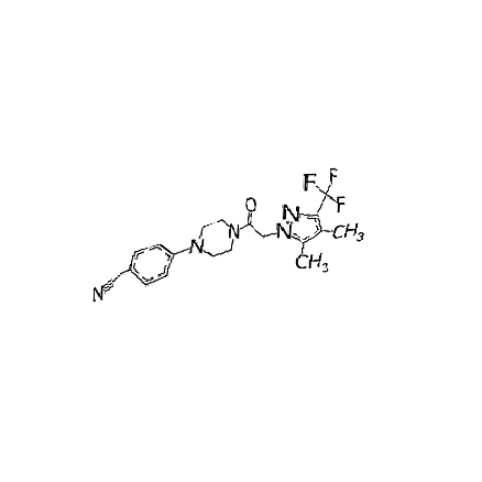 Cc1c(C(F)(F)F)nn(CC(=O)N2CCN(c3ccc(C#N)cc3)CC2)c1C